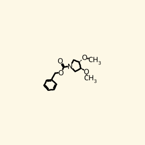 CO[C@H]1CN(C(=O)OCc2ccccc2)C[C@@H]1OC